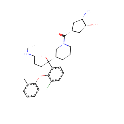 Cc1ccccc1Oc1c(Cl)cccc1C(O)(CCCNC(=O)O)[C@@H]1CCCN(C(=O)[C@H]2C[C@@H](N)[C@@H](O)C2)C1